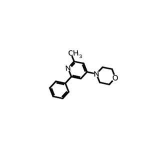 Cc1cc(N2CCOCC2)cc(-c2ccccc2)n1